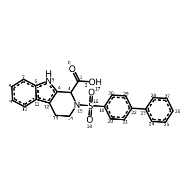 O=C(O)C1c2[nH]c3ccccc3c2CCN1S(=O)(=O)c1ccc(-c2ccccc2)cc1